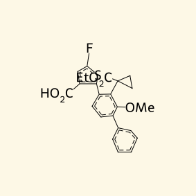 CCOC(=O)C1(c2c(-c3sc(F)cc3C(=O)O)ccc(-c3ccccc3)c2OC)CC1